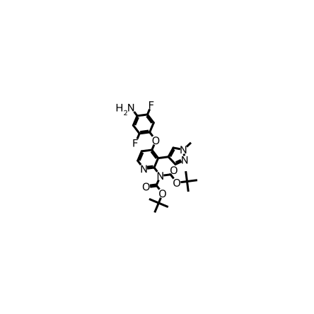 Cn1cc(-c2c(Oc3cc(F)c(N)cc3F)ccnc2N(C(=O)OC(C)(C)C)C(=O)OC(C)(C)C)cn1